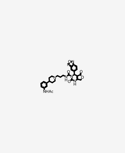 CC(=O)Nc1cccc(C2CCN(CCCNC(=O)N3C(=O)NC4=C(C(=O)OC4)C3c3ccc4nonc4c3)CC2)c1